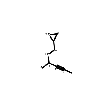 CC#CC(C)SCC1CS1